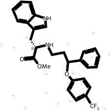 COC(=O)[C@H](Cc1c[nH]c2ccccc12)NCCC(Oc1ccc(C(F)(F)F)cc1)c1ccccc1